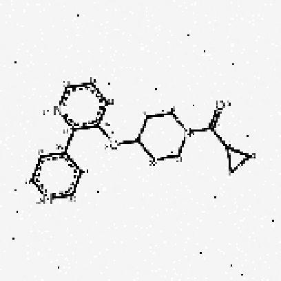 O=C(C1CC1)N1CCC(Oc2cccnc2-c2ccncc2)CC1